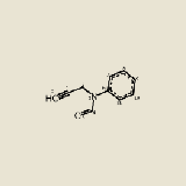 C#CCN(C=O)c1[c]cccc1